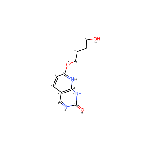 O=c1ncc2ccc(OCCCCO)nc2[nH]1